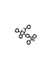 C/C(=C\c1c(C)c(-c2ccccc2)c2ccccc2c1-c1ccc(N2C(c3ccccc3)=NC3C=CC=CC32)cc1)c1ccccc1